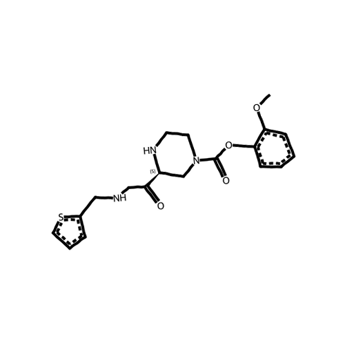 COc1ccccc1OC(=O)N1CCN[C@H](C(=O)CNCc2cccs2)C1